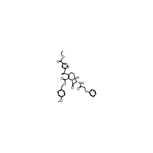 C=C(C1=C(C(=O)OCc2ccc(OC)cc2)N2C(=O)[C@@H](NC(=O)CSc3ccccc3)[C@H]2SC1)c1cc(C(=O)OCC)no1